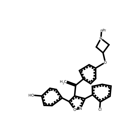 C=C(c1ccc(OC2CN(CCC)C2)cc1)c1c(-c2ccccc2Cl)noc1-c1ccc(O)cc1